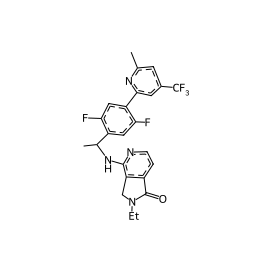 CCN1Cc2c(ccnc2NC(C)c2cc(F)c(-c3cc(C(F)(F)F)cc(C)n3)cc2F)C1=O